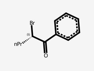 CCC[C@H](Br)C(=O)c1ccccc1